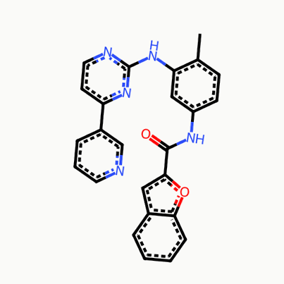 Cc1ccc(NC(=O)c2cc3ccccc3o2)cc1Nc1nccc(-c2cccnc2)n1